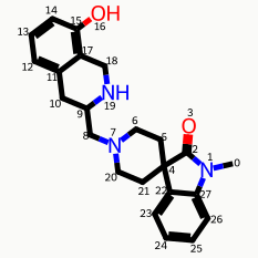 CN1C(=O)C2(CCN(CC3Cc4cccc(O)c4CN3)CC2)c2ccccc21